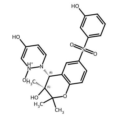 CC1(C)Oc2ccc(S(=O)(=O)c3cccc(O)c3)cc2[C@@H](N2C=CC(O)=C[NH+]2[O-])[C@]1(C)O